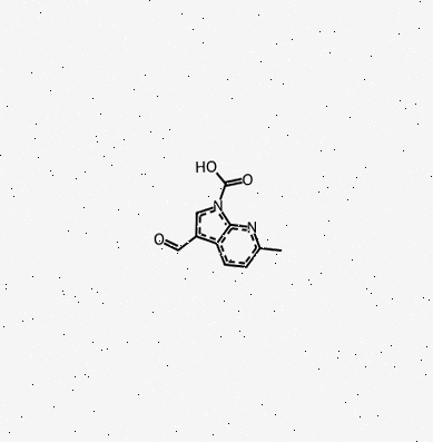 Cc1ccc2c(C=O)cn(C(=O)O)c2n1